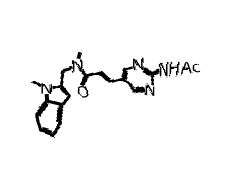 CC(=O)Nc1ncc(C=CC(=O)N(C)Cc2cc3ccccc3n2C)cn1